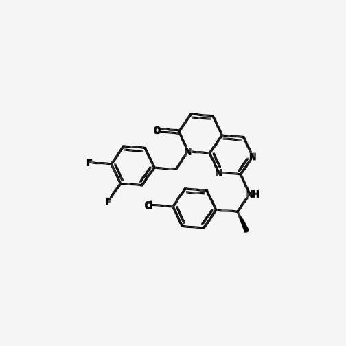 C[C@H](Nc1ncc2ccc(=O)n(Cc3ccc(F)c(F)c3)c2n1)c1ccc(Cl)cc1